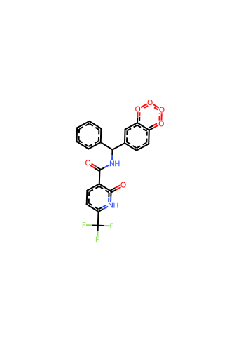 O=C(NC(c1ccccc1)c1ccc2ooooc2c1)c1ccc(C(F)(F)F)[nH]c1=O